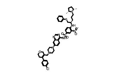 C[C@@H]1CC[C@H](C)N1CCC[C@H](CSc1ccccc1)Nc1ccc(S(=O)(=O)Nc2ncnc3cc(N4CCN(CC5=C(c6ccc(Cl)cc6)CCOC5)CC4)ccc23)cc1[N+](=O)[O-]